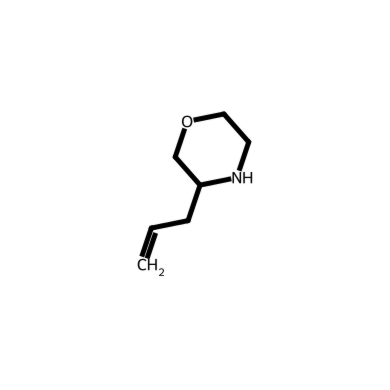 C=CCC1COCCN1